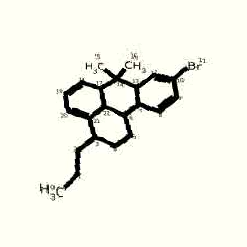 CCCC1CCC2C3C=CC(Br)=CC3C(C)(C)C3C=CC=C1C23